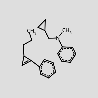 CCCC1C=C1c1ccccc1.CN(CC1CC1)c1ccccc1